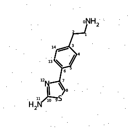 NCCc1ccc(-c2csc(N)n2)cc1